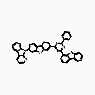 c1ccc(-c2nc(-c3ccc4c(c3)oc3cc(-n5c6ccccc6c6cccnc65)ccc34)nc(-c3cccc4c3oc3ccccc34)n2)cc1